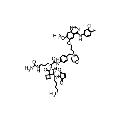 CCCCCN(C(=O)C1(C(=O)N[C@@H](CCCNC(N)=O)C(=O)Nc2ccc(C[N+]3(CCCOc4cc5c(Nc6ccc(F)c(Cl)c6)ncnc5cc4OC)CCOCC3)cc2)CCC1)N1C(=O)C=CC1=O